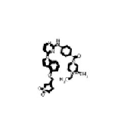 CCN1CCN(C(=O)[C@H]2CC[C@H](Nc3nccc(-n4ccc5c(OCC6CCS(=O)(=O)C6)cccc54)n3)CC2)C[C@H]1C